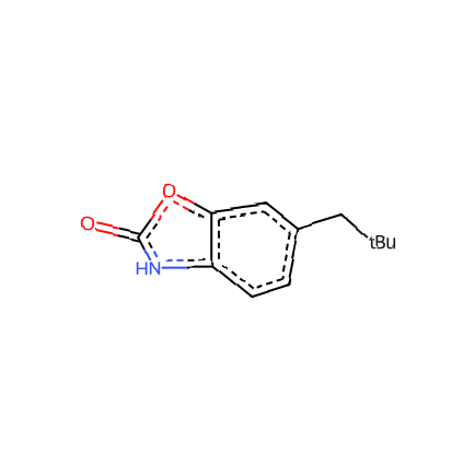 CC(C)(C)Cc1ccc2[nH]c(=O)oc2c1